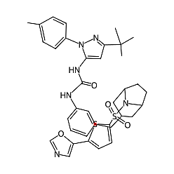 Cc1ccc(-n2nc(C(C)(C)C)cc2NC(=O)Nc2cccc(CC3CC4CCC(C3)N4S(=O)(=O)c3ccc(-c4cnco4)s3)c2)cc1